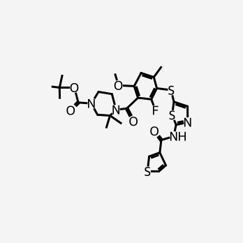 COc1cc(C)c(Sc2cnc(NC(=O)c3ccsc3)s2)c(F)c1C(=O)N1CCN(C(=O)OC(C)(C)C)CC1(C)C